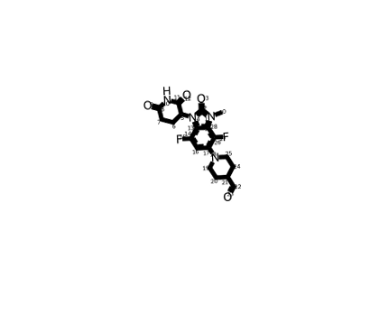 Cn1c(=O)n(C2CCC(=O)NC2=O)c2c(F)cc(N3CCC(C=O)CC3)c(F)c21